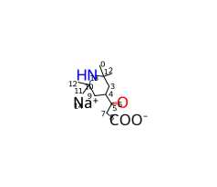 CC1(C)CC(C(=O)CC(=O)[O-])CC(C)(C)N1.[Na+]